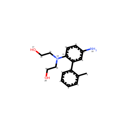 Cc1ccccc1-c1cc(N)ccc1N(CCO)CCO